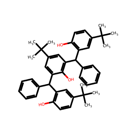 CC(C)(C)c1ccc(O)c(C(c2ccccc2)c2cc(C(C)(C)C)cc(C(c3ccccc3)c3cc(C(C)(C)C)ccc3O)c2O)c1